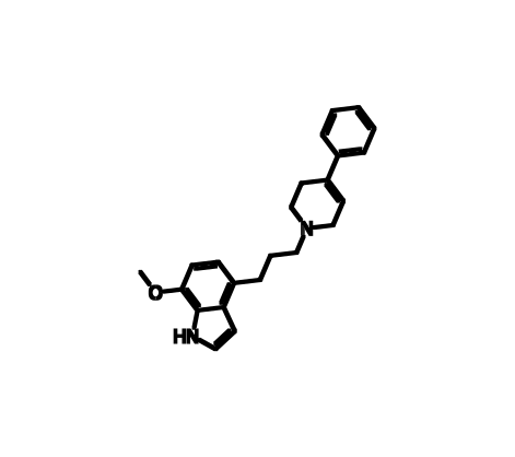 COc1ccc(CCCN2CC=C(c3ccccc3)CC2)c2cc[nH]c12